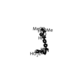 COC(=O)N[C@H](C(=O)N1CCC[C@H]1c1ncc(-c2ccc(-c3ccc(-c4cnc([C@@H]5CCCN5C(=O)[C@H](Cc5ccncc5)NC(=O)O)[nH]4)cc3)cc2)[nH]1)[C@@H](C)OC